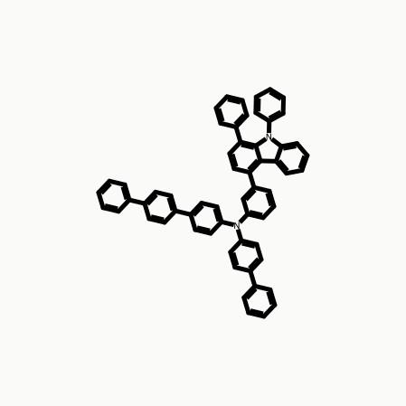 c1ccc(-c2ccc(-c3ccc(N(c4ccc(-c5ccccc5)cc4)c4cccc(-c5ccc(-c6ccccc6)c6c5c5ccccc5n6-c5ccccc5)c4)cc3)cc2)cc1